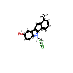 Cn1c2c(c3cc(Br)ccc31)C=C1C2=CC=C[CH]1[Zr+3].[Cl-].[Cl-].[Cl-]